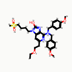 CCOCCc1cc2c(nc(O)n2CCCCS(C)(=O)=O)c(N(Cc2ccc(OC)cc2)Cc2ccc(OC)cc2)n1